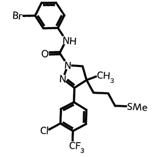 CSCCCC1(C)CN(C(=O)Nc2cccc(Br)c2)N=C1c1ccc(C(F)(F)F)c(Cl)c1